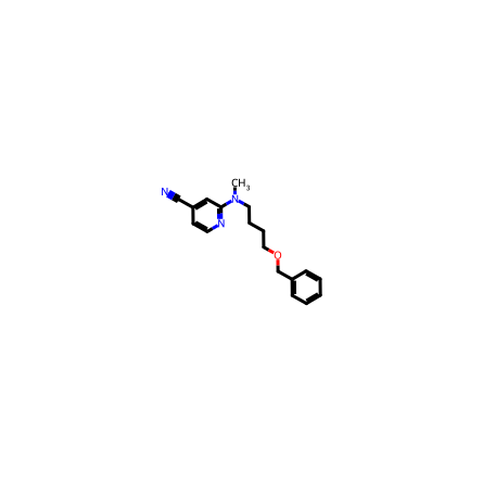 CN(CCCCOCc1ccccc1)c1cc(C#N)ccn1